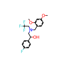 COc1ccc(CN(CC(O)c2ccc(F)cc2)CC(F)(F)F)c(OC)c1